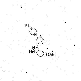 CCN1CCN(C2=CC(c3n[nH]c4ccc(OC)cc34)NC=N2)CC1